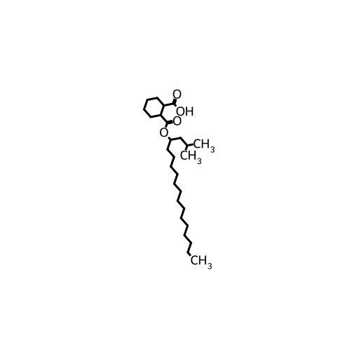 CCCCCCCCCCCCCCC(CC(C)C)OC(=O)C1CCCCC1C(=O)O